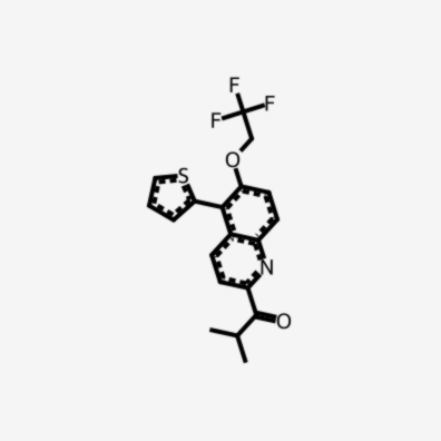 CC(C)C(=O)c1ccc2c(-c3cccs3)c(OCC(F)(F)F)ccc2n1